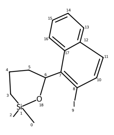 C[Si]1(C)CCCC(c2c(I)ccc3ccccc23)O1